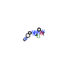 Cc1cnc(-c2ccccc2Nc2nc(Nc3ccc4c(c3)CC[C@@H](N3CCCC3)CC4)ncc2Cl)o1